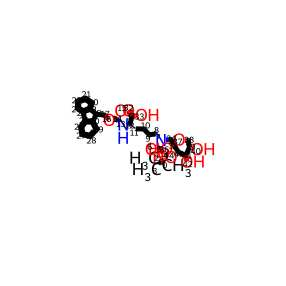 CC(C)(C)OC(=O)N(CCCC[C@H](NC(=O)OCC1c2ccccc2-c2ccccc21)C(=O)O)CC1(O)OCC(O)C(O)C1O